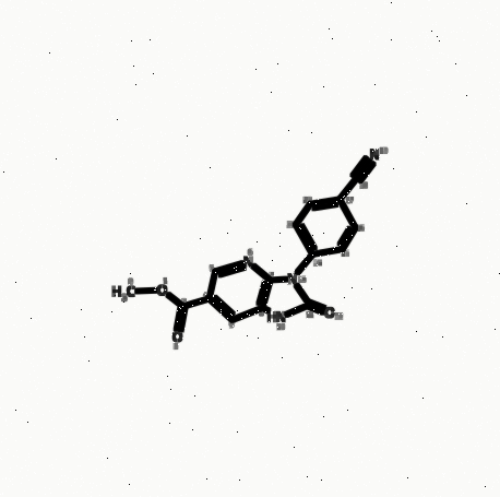 COC(=O)c1cnc2c(c1)[nH]c(=O)n2-c1ccc(C#N)cc1